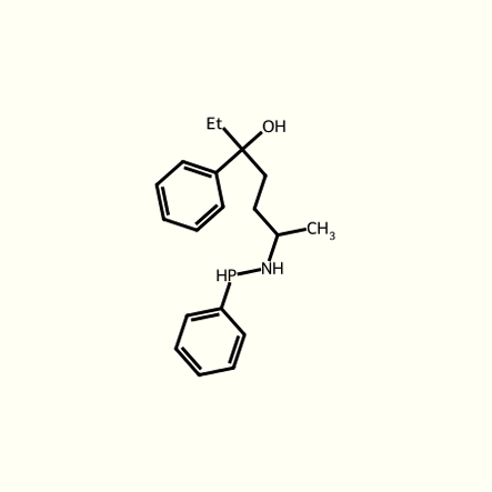 CCC(O)(CCC(C)NPc1ccccc1)c1ccccc1